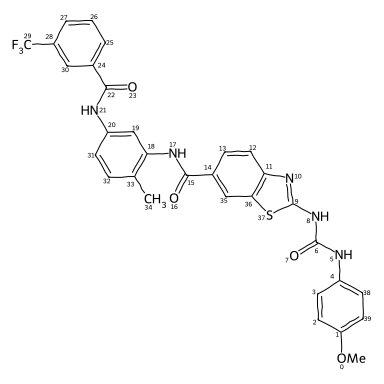 COc1ccc(NC(=O)Nc2nc3ccc(C(=O)Nc4cc(NC(=O)c5cccc(C(F)(F)F)c5)ccc4C)cc3s2)cc1